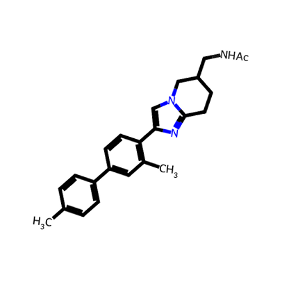 CC(=O)NCC1CCc2nc(-c3ccc(-c4ccc(C)cc4)cc3C)cn2C1